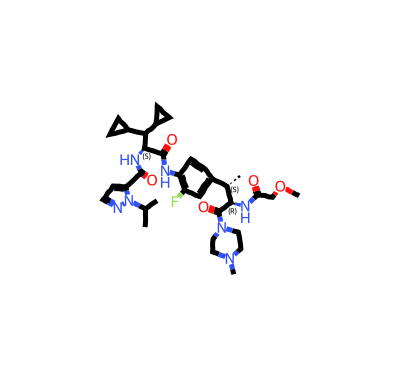 COCC(=O)N[C@@H](C(=O)N1CCN(C)CC1)[C@@H](C)c1ccc(NC(=O)[C@@H](NC(=O)c2ccnn2C(C)C)C(C2CC2)C2CC2)c(F)c1